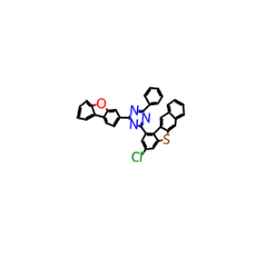 Clc1cc(-c2nc(-c3ccccc3)nc(-c3ccc4c(c3)oc3ccccc34)n2)c2c(c1)sc1cc3ccccc3cc12